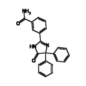 NC(=O)c1cccc(C2=NC(c3ccccc3)(c3ccccc3)C(=O)N2)c1